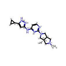 CN1CC2CN(c3nccc(Nc4cc(C5CC5)[nH]n4)n3)C[C@@H]2C1